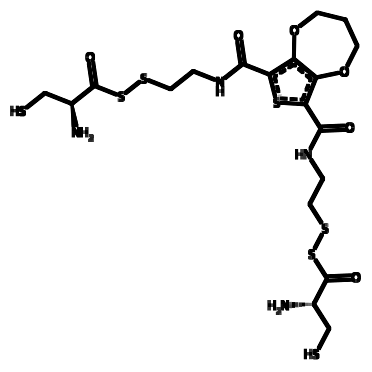 N[C@@H](CS)C(=O)SSCCNC(=O)c1sc(C(=O)NCCSSC(=O)[C@@H](N)CS)c2c1OCCCO2